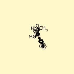 Cc1cn([C@H]2C[C@@H](SSc3ccc(O[N+](=O)[O-])cc3)[C@@H](CO)O2)c(=O)[nH]c1=O